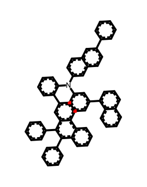 c1ccc(-c2ccc3cc(N(c4cccc(-c5cccc6ccccc56)c4)c4ccccc4-c4ccc5c(c4)c(-c4ccccc4)c(-c4ccccc4)c4ccccc45)ccc3c2)cc1